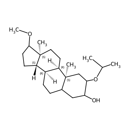 COC1CC[C@H]2[C@@H]3CCC4CC(O)C(OC(C)C)C[C@]4(C)[C@@H]3CC[C@]12C